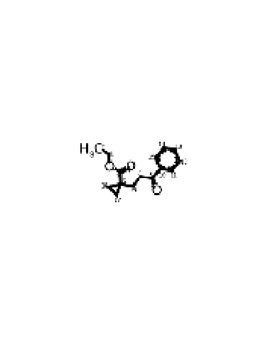 CCOC(=O)C1(CCC(=O)c2ccccc2)CC1